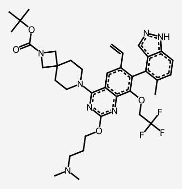 C=Cc1cc2c(N3CCC4(CC3)CN(C(=O)OC(C)(C)C)C4)nc(OCCCN(C)C)nc2c(OCC(F)(F)F)c1-c1c(C)ccc2[nH]ncc12